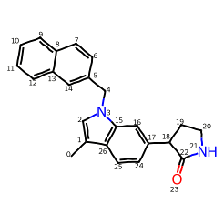 Cc1cn(Cc2ccc3ccccc3c2)c2cc(C3CCNC3=O)ccc12